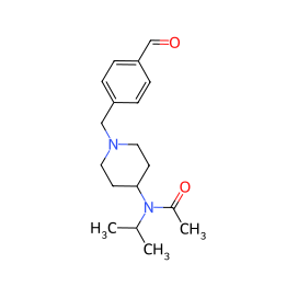 CC(=O)N(C(C)C)C1CCN(Cc2ccc(C=O)cc2)CC1